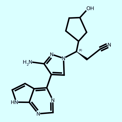 N#CC[C@H](C1CCC(O)C1)n1cc(-c2ncnc3[nH]ccc23)c(N)n1